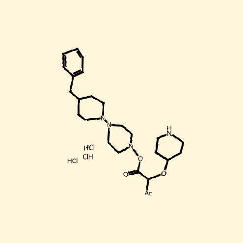 CC(=O)C(OC1CCNCC1)C(=O)ON1CCN(N2CCC(Cc3ccccc3)CC2)CC1.Cl.Cl.Cl